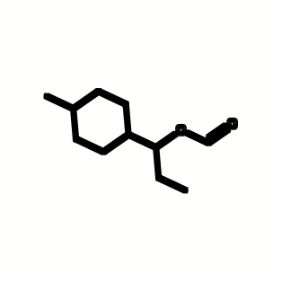 CCC(OC=O)C1CCC(C)CC1